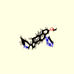 CCOC1=CC2=C(n3ccnn3)C[C@@H]3[C@H](CC[C@]4(C)C(c5cccnc5)=CC[C@@H]34)[C@@]2(C)CC1